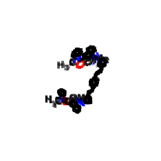 COc1c(CON(C)c2ccccc2)cc2ccccc2c1N=Nc1cccc(C=Cc2ccc(C=Cc3cccc(N=Nc4c(OC)c(C(=O)N(C)c5ccccc5)cc5ccccc45)c3)cc2)c1